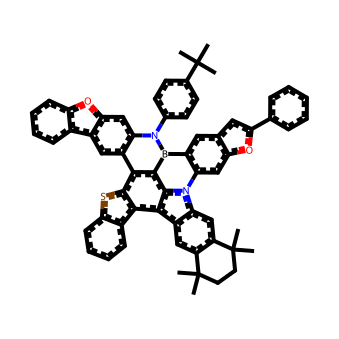 CC(C)(C)c1ccc(N2B3c4cc5cc(-c6ccccc6)oc5cc4-n4c5cc6c(cc5c5c7c(sc8ccccc87)c(c3c54)-c3cc4c(cc32)oc2ccccc24)C(C)(C)CCC6(C)C)cc1